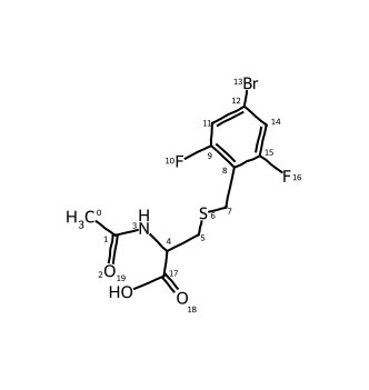 CC(=O)NC(CSCc1c(F)cc(Br)cc1F)C(=O)O